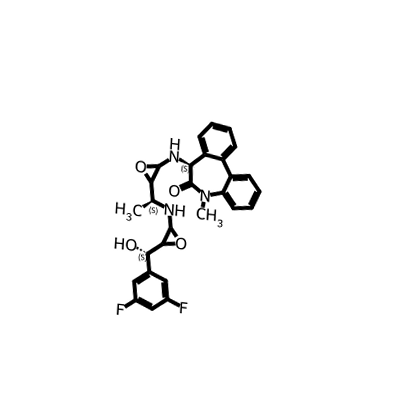 C[C@H](NC1OC1[C@@H](O)c1cc(F)cc(F)c1)C1OC1N[C@@H]1C(=O)N(C)c2ccccc2-c2ccccc21